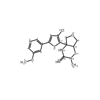 COc1cncc(-c2cc(Cl)c(C34COCC3SN(C)C(=N)N4)s2)c1